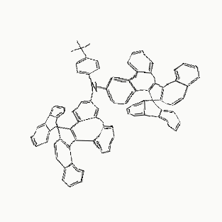 CC(C)(C)c1ccc(N(c2ccc3c4c(c5ccccc5c3c2)-c2c(ccc3ccccc23)C42c3ccccc3-c3ccccc32)c2ccc3c4c(c5ccccc5c3c2)-c2c(ccc3ccccc23)C42c3ccccc3-c3ccccc32)cc1